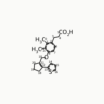 Cc1c(CCC(=O)O)ccc(OCC2=C(c3cccs3)CCC2)c1C